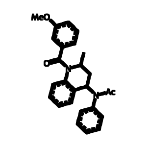 COc1cccc(C(=O)N2c3ccccc3C(N(C(C)=O)c3ccccc3)CC2C)c1